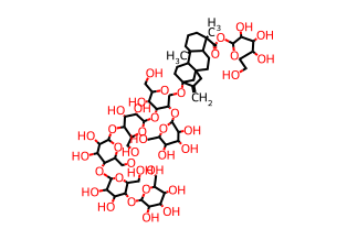 C=C1CC23CCC4C(C)(C(=O)OC5OC(CO)C(O)C(O)C5O)CCCC4(C)C2CCC1(OC1OC(CO)C(O)C(OC2OC(CO)C(OC4OC(CO)C(OC5OC(CO)C(OC6OC(CO)C(O)C(O)C6O)C(O)C5O)C(O)C4O)C(O)C2O)C1OC1OC(CO)C(O)C(O)C1O)C3